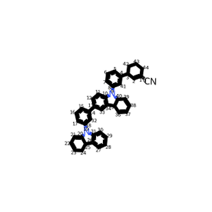 N#CC1=CC(c2cccc(N3c4ccc(-c5cccc(N6C7=CC=CCC7c7ccccc76)c5)cc4C4C=CC=CC43)c2)CCC1